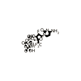 Nc1ccn([C@H]2O[C@@](COP(=O)(O)OP(=O)(O)OP(=O)(O)O)(CC(F)(F)F)[C@@H](O)[C@H]2F)c(=O)n1